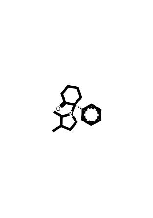 CC1CCN([C@]2(c3ccccc3)CCCCC2=O)C1C